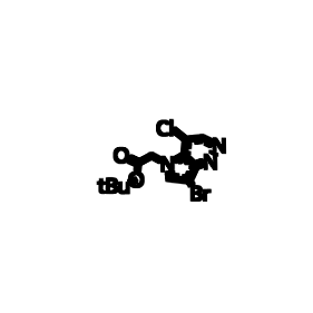 CC(C)(C)OC(=O)Cn1cc(Br)c2nncc(Cl)c21